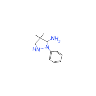 CC1(C)CNN(c2ccccc2)C1N